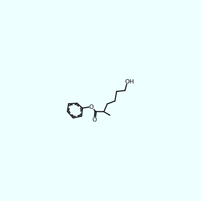 CC(CCCCO)C(=O)Oc1ccccc1